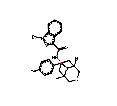 CCn1nc(C(=O)N[C@H]2C[C@H]3COC[C@@H](C2)N3Cc2ccc(F)cc2)c2ccccc21